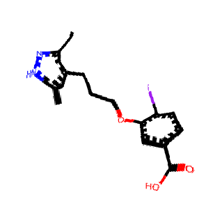 Cc1n[nH]c(C)c1CCCOc1cc(C(=O)O)ccc1I